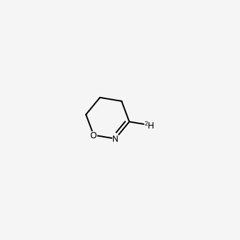 [2H]C1=NOCCC1